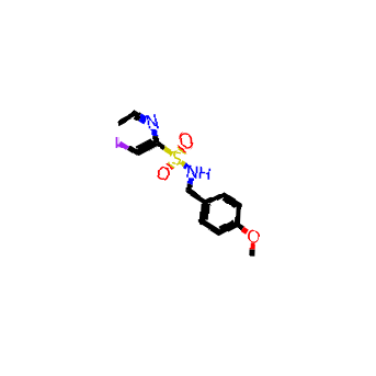 C/C=N\C(=C/I)S(=O)(=O)NCc1ccc(OC)cc1